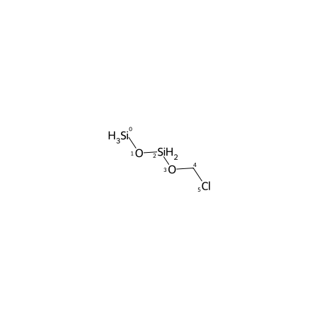 [SiH3]O[SiH2]OCCl